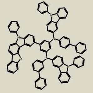 c1ccc(-c2ccc(N(c3cc(-c4ccc5c(c4)c4c6sc7ccccc7c6ccc4n5-c4ccccc4)cc(N(c4cccc(-c5ccccc5)c4)c4ccc5c(c4)c4ccccc4n5-c4ccccc4)c3)c3ccc4c(c3)c3ccccc3n4-c3ccccc3)cc2)cc1